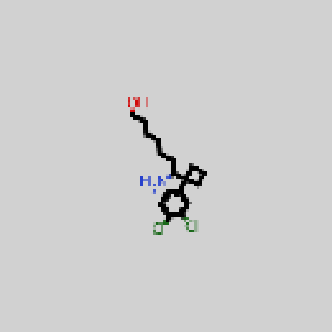 NC(CCCCCCO)C1(c2ccc(Cl)c(Cl)c2)CCC1